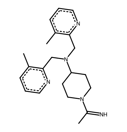 CC(=N)N1CCC(N(Cc2ncccc2C)Cc2ncccc2C)CC1